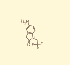 Nc1ccc2c(c1)CC(=O)N2CC(F)(F)F